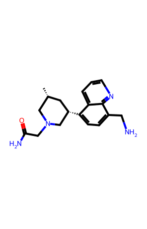 C[C@@H]1C[C@H](c2ccc(CN)c3ncccc23)CN(CC(N)=O)C1